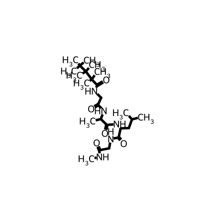 CNC(=O)CNC(=O)C(CC(C)C)NC(=O)C(C)NC(=O)CNC(=O)C(C)(C)C(C)(C)C(C)(C)C